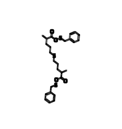 CC(CCCSCCCC(C)C(=O)OSCc1ccccc1)C(=O)OSCc1ccccc1